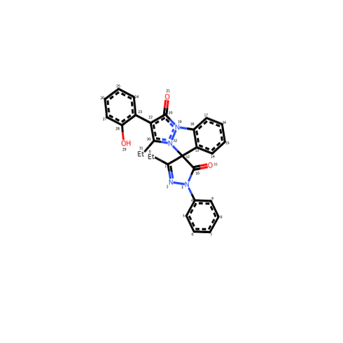 CCC1=NN(c2ccccc2)C(=O)C12c1ccccc1-n1c(=O)c(-c3ccccc3O)c(CC)n12